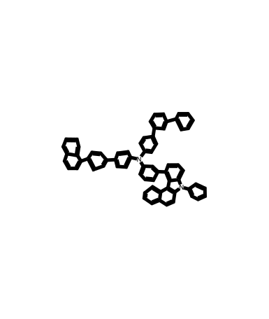 c1ccc(-c2cccc(-c3ccc(N(c4ccc(-c5ccc(-c6cccc7ccccc67)cc5)cc4)c4cccc(-c5cccc6c5c5c7ccccc7ccc5n6-c5ccccc5)c4)cc3)c2)cc1